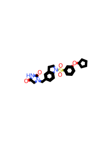 O=C1CN(Cc2ccc3c(c2)CCN3S(=O)(=O)c2cccc(OC3CCCC3)c2)C(=O)N1